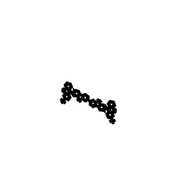 CC(C)(C)c1ccc2c(c1)C(C)(C)c1ccccc1N2c1ccc2c(c1)C(C)(C)c1cc(-c3ccc4c(c3)C(C)(C)c3cc(N5c6ccccc6C(C)(C)c6cc(C(C)(C)C)ccc65)ccc3-4)ccc1-2